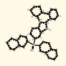 O=P(c1ccc2ccccc2c1)(c1ccc2ccccc2c1)c1ccc2c(c1)nc1c3ccccc3c3ccccc3n21